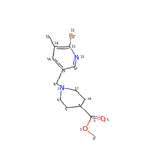 COC(=O)C1CCN(Cc2cnc(Br)c(C)c2)CC1